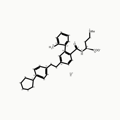 CSCC[C@H](NC(=O)c1ccc(CCc2ccc(C3CCCCC3)cc2)cc1-c1ccccc1C)C(=O)[O-].[Li+]